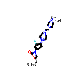 CC(=O)NC[C@H]1CN(c2ccc(N3CCN(CCN4CCN(C(=O)O)CC4)CC3)c(F)c2)C(=O)O1